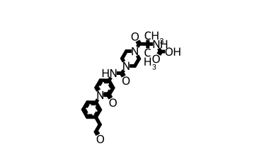 CC(C)(NC(=O)O)C(=O)N1CCN(C(=O)Nc2ccn(-c3cccc(CC=O)c3)c(=O)c2)CC1